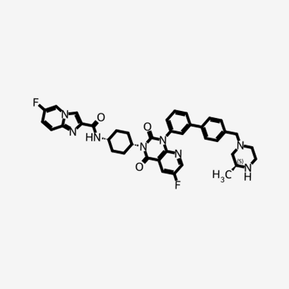 C[C@H]1CN(Cc2ccc(-c3cccc(-n4c(=O)n([C@H]5CC[C@@H](NC(=O)c6cn7cc(F)ccc7n6)CC5)c(=O)c5cc(F)cnc54)c3)cc2)CCN1